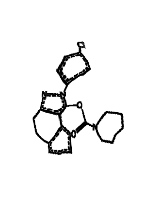 O=C(Oc1c2c(nn1-c1ccc(Cl)cc1)CCc1ccccc1-2)N1CCCCC1